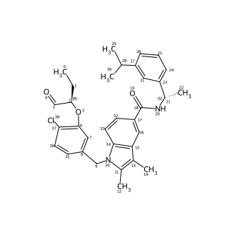 CC[C@H](C=O)Oc1cc(Cn2c(C)c(C)c3cc(C(=O)N[C@@H](C)c4cccc(C(C)C)c4)ccc32)ccc1Cl